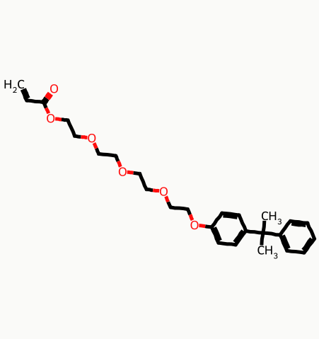 C=CC(=O)OCCOCCOCCOCCOc1ccc(C(C)(C)c2ccccc2)cc1